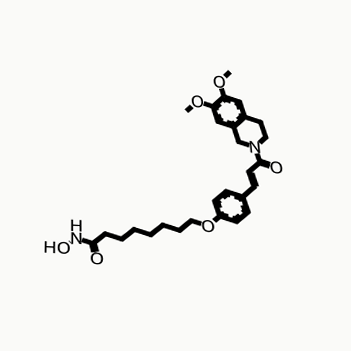 COc1cc2c(cc1OC)CN(C(=O)C=Cc1ccc(OCCCCCCCC(=O)NO)cc1)CC2